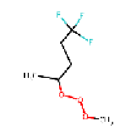 COOOC(C)CCC(F)(F)F